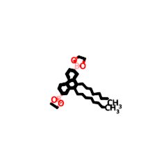 CCCCCCCCc1c(CCCCCCCC)c2cc(B3OCCO3)ccc2c2ccc(B3OCCO3)cc12